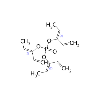 C=C/C(=C/C)OP(=O)(O/C(C=C)=C\C)O/C(C=C)=C\C